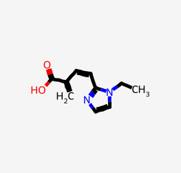 C=C(/C=C\c1nccn1CC)C(=O)O